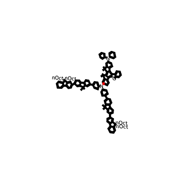 CCCCCCCCC1(CCCCCCCC)c2ccccc2-c2ccc(-c3ccc4c(c3)C(C)(C)c3cc(-c5ccc(N(c6ccc(-c7ccc8c(c7)C(C)(C)c7cc(-c9ccc%10c(c9)C(CCCCCCCC)(CCCCCCCC)c9ccccc9-%10)ccc7-8)cc6)c6ccc7c(c6)C(C)(C)c6c8c(c9c(oc%10ccccc%109)c6-7)-c6ccc(N(c7ccccc7)c7ccccc7)cc6C8(C)C)cc5)ccc3-4)cc21